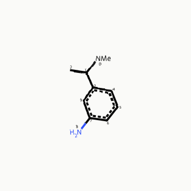 CNC(C)c1cccc(N)c1